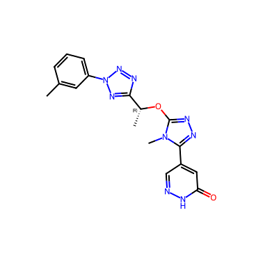 Cc1cccc(-n2nnc([C@@H](C)Oc3nnc(-c4cn[nH]c(=O)c4)n3C)n2)c1